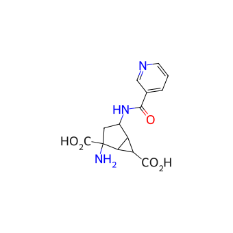 NC1(C(=O)O)CC(NC(=O)c2cccnc2)C2C(C(=O)O)C21